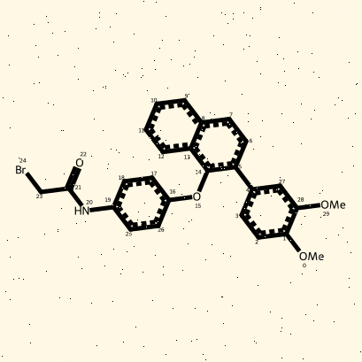 COc1ccc(-c2ccc3ccccc3c2Oc2ccc(NC(=O)CBr)cc2)cc1OC